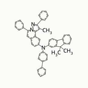 Cc1c(-c2ccccc2)nn2c(-c3ccccc3)cc3ccc(N(c4ccc(-c5ccccc5)cc4)c4ccc5c(c4)C(C)(C)c4ccccc4-5)cc3c12